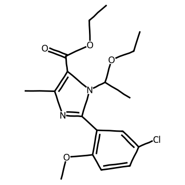 CCOC(=O)c1c(C)nc(-c2cc(Cl)ccc2OC)n1C(C)OCC